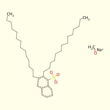 C=O.CCCCCCCCCCCCCCc1cc2ccccc2c(S(=O)(=O)[O-])c1CCCCCCCCCCCCCC.[Na+]